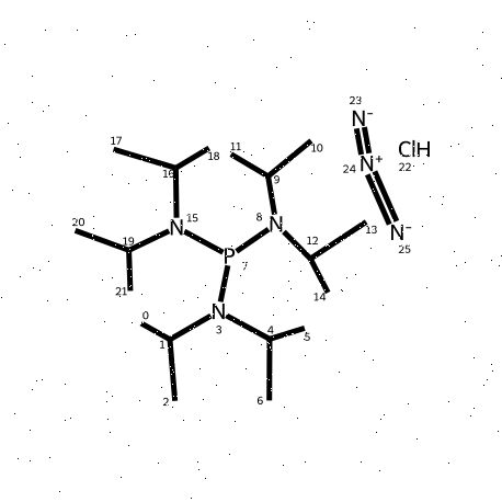 CC(C)N(C(C)C)P(N(C(C)C)C(C)C)N(C(C)C)C(C)C.Cl.[N-]=[N+]=[N-]